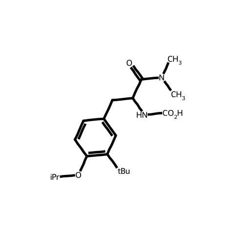 CC(C)Oc1ccc(CC(NC(=O)O)C(=O)N(C)C)cc1C(C)(C)C